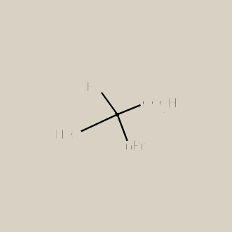 CCCC(C)(CC)C(=O)O